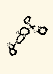 CC(Oc1ccccn1)([C@H]1CC[C@H]2CN(c3noc4ccccc34)CCN2C1)N1CCCC1